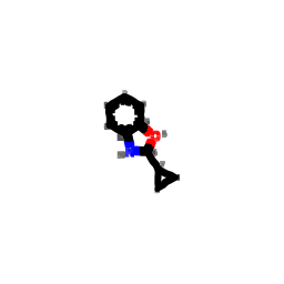 [c]1cccc2oc(C3CC3)nc12